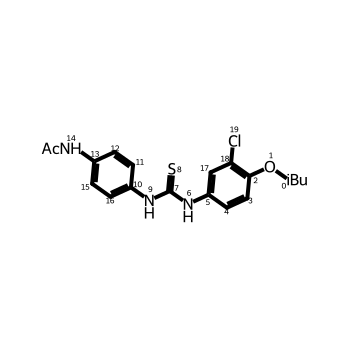 CCC(C)Oc1ccc(NC(=S)Nc2ccc(NC(C)=O)cc2)cc1Cl